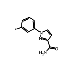 NC(=O)c1ccn(-c2cc[c]c(F)c2)n1